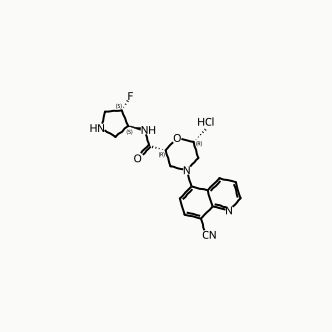 C[C@@H]1CN(c2ccc(C#N)c3ncccc23)C[C@H](C(=O)N[C@H]2CNC[C@@H]2F)O1.Cl